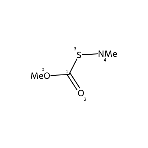 [CH]OC(=O)SNC